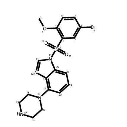 COc1ccc(Br)cc1S(=O)(=O)n1cnc2c(N3CCNCC3)cccc21